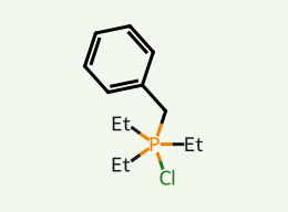 CCP(Cl)(CC)(CC)Cc1ccccc1